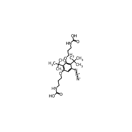 CC(C)(C)c1c(N=[N+]=[N-])cc(OCCCNC(=O)O)c(C(C)(C)C)c1OCCCNC(=O)O